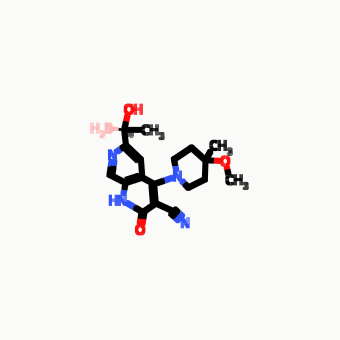 B[C@@](C)(O)c1cc2c(N3CCC(C)(OC)CC3)c(C#N)c(=O)[nH]c2cn1